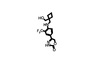 O=C1NN=C(c2ccc(NCC3(CO)CCC3)c(C(F)(F)F)c2)CO1